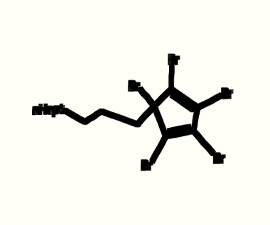 CCCCCCCCCCC1(Br)C(Br)=C(Br)C(Br)=C1Br